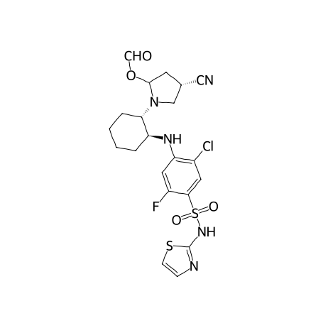 N#C[C@H]1CC(OC=O)N([C@H]2CCCC[C@@H]2Nc2cc(F)c(S(=O)(=O)Nc3nccs3)cc2Cl)C1